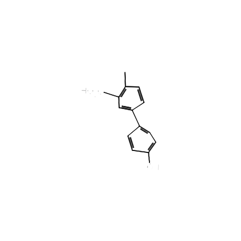 Cc1ccc(-c2ccc(O)cc2)cc1C(=O)O